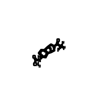 CC(=O)Nc1ccc2c(c1)C1CC2CN(C(=O)C(F)(F)F)C1